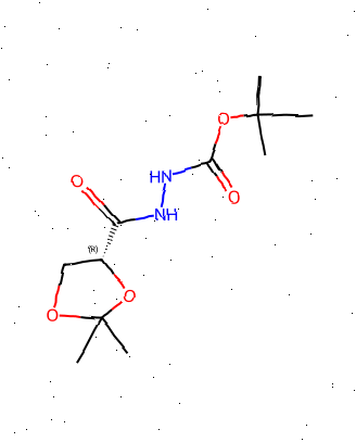 CC(C)(C)OC(=O)NNC(=O)[C@H]1COC(C)(C)O1